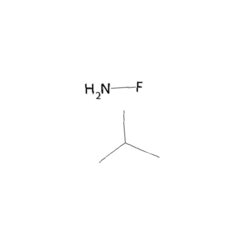 CC(C)C.NF